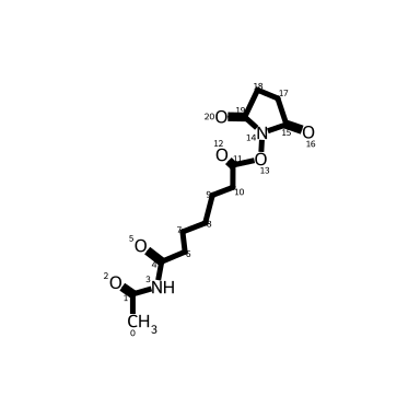 CC(=O)NC(=O)CCCCCC(=O)ON1C(=O)CCC1=O